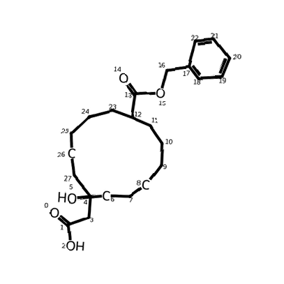 O=C(O)CC1(O)CCCCCCC(C(=O)OCc2ccccc2)CCCCC1